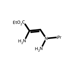 CCOC(=O)/C(N)=C/N(N)C(C)C